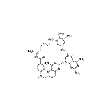 CN(Cc1cnc2nc(N)nc(N)c2n1)c1ccc(C(=O)N[C@@H](CCC(=O)O)C(=O)O)cc1.COc1cc(NCc2ccc3nc(N)nc(N)c3c2C)cc(OC)c1OC